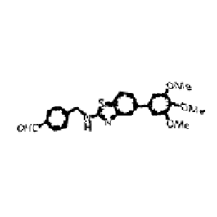 COc1cc(-c2ccc3sc(NCc4ccc(C=O)cc4)nc3c2)cc(OC)c1OC